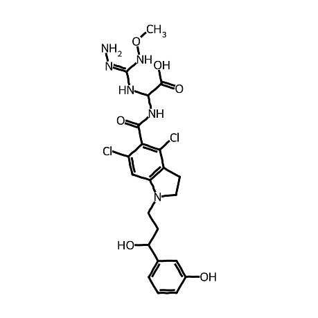 CON/C(=N\N)NC(NC(=O)c1c(Cl)cc2c(c1Cl)CCN2CCC(O)c1cccc(O)c1)C(=O)O